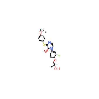 CC(C)(O)COc1ccc(-n2ccnc(Sc3ccc(OC(F)(F)F)cc3)c2=O)cc1F